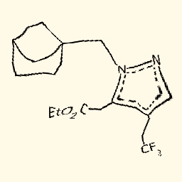 CCOC(=O)c1c(C(F)(F)F)cnn1CC12CCC(C1)C2